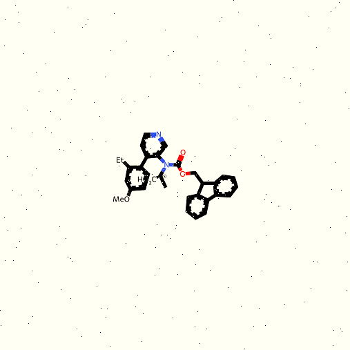 CCc1cc(OC)ccc1-c1ccncc1N(C(=O)OCC1c2ccccc2-c2ccccc21)[C@@H](C)C(=O)O